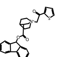 O=C(C[N+]12CCC(CC1)C(C(=O)OC1c3ccccc3-c3ccccc31)C2)c1cccs1